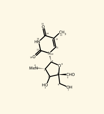 CN[C@H]1C(O)[C@@](C=O)(CO)O[C@H]1n1cc(C)c(=O)[nH]c1=O